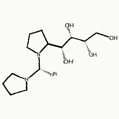 CCC[C@H](N1CCCC1)N1CCCC1[C@@H](O)[C@H](O)[C@@H](O)CO